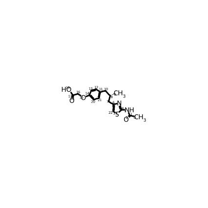 CC(=O)Nc1nc(C[C@@H](C)Cc2ccc(OCC(=O)O)cc2)cs1